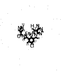 CCOc1c(C(C)n2nc(C)c3c(N)ncnc32)cc(Cl)c(C)c1C1CN(C(=O)c2cnn(C)c2)C1